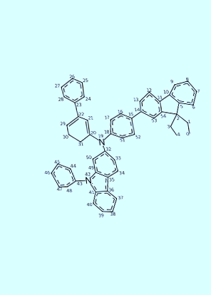 CCC1(CC)c2ccccc2-c2ccc(-c3ccc(N(C4=CC(c5ccccc5)=CCC4)c4ccc5c6ccccc6n(-c6ccccc6)c5c4)cc3)cc21